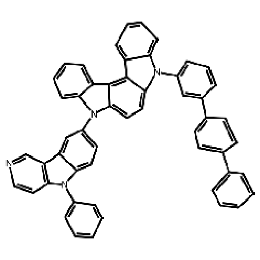 c1ccc(-c2ccc(-c3cccc(-n4c5ccccc5c5c6c7ccccc7n(-c7ccc8c(c7)c7cnccc7n8-c7ccccc7)c6ccc54)c3)cc2)cc1